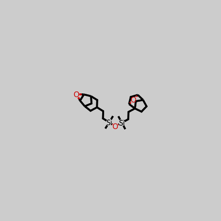 C[Si](C)(CCC1CC2CC(C1)C1OC21)O[Si](C)(C)CCC12CCC(C1)C1CC2O1